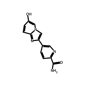 NC(=O)c1ccc(-c2cn3cc(O)ccc3n2)cn1